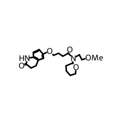 COCCN(C(=O)CCCOc1ccc2c(c1)CCC(=O)N2)C1CCCCO1